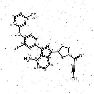 CC#CC(=O)N1CCC(c2nc(-c3ccc(Oc4cc(C(F)(F)F)ccn4)c(F)c3)n3c(N)nccc23)C1